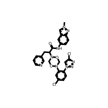 Cn1cc2cc(NC(=O)C(Cc3cccnc3)N3CON(c4cc(Cl)ccc4-n4cc(Cl)nn4)CO3)ccc2n1